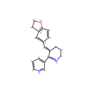 C(=C1/CCCN=C1c1cccnc1)/c1ccc2c(c1)CCO2